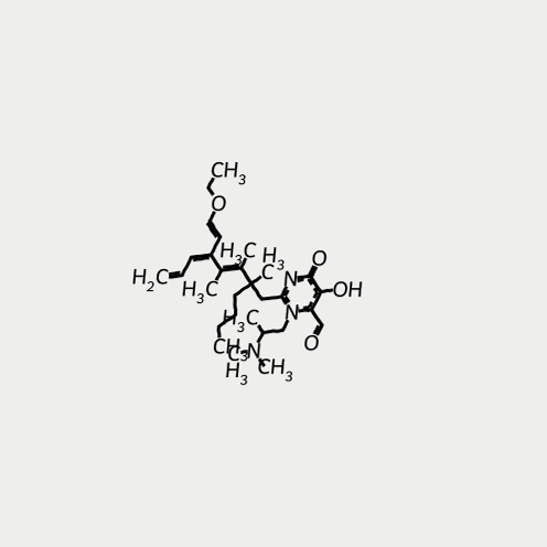 C=C/C=C(/C=C/OCC)C(\C)=C(/C)C(C)(CCCC)Cc1nc(=O)c(O)c(C=O)n1CC(C)N(C)C